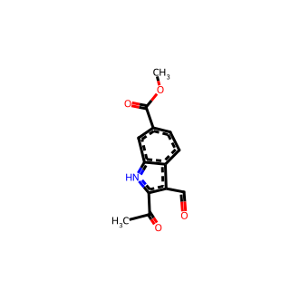 COC(=O)c1ccc2c(C=O)c(C(C)=O)[nH]c2c1